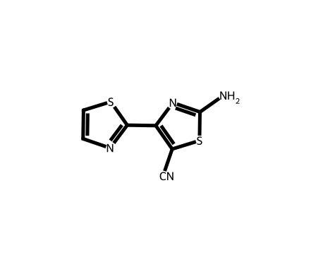 N#Cc1sc(N)nc1-c1nccs1